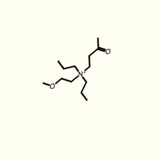 CCC[N+](CCC)(CCOC)CCC(C)=O